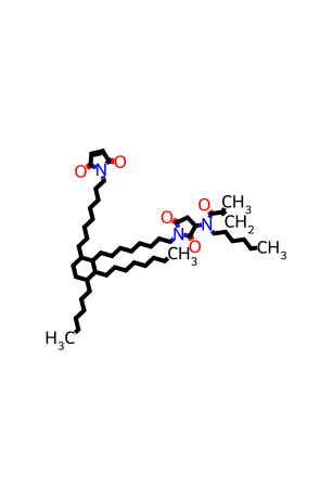 C=C(C)C(=O)N(CCCCCC)C1CC(=O)N(CCCCCCCCC2C(CCCCCCCCN3C(=O)C=CC3=O)CCC(CCCCCC)C2CCCCCCCC)C1=O